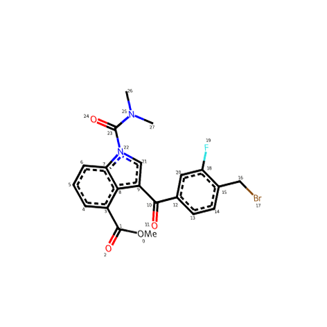 COC(=O)c1cccc2c1c(C(=O)c1ccc(CBr)c(F)c1)cn2C(=O)N(C)C